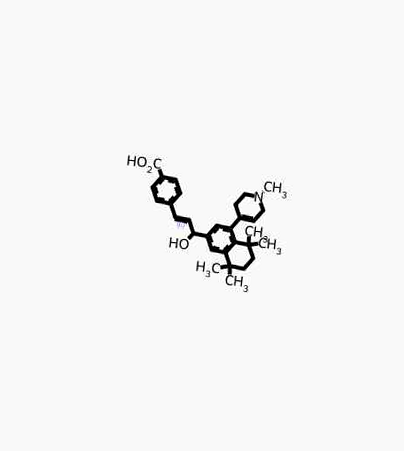 CN1CC=C(c2cc(C(O)/C=C/c3ccc(C(=O)O)cc3)cc3c2C(C)(C)CCC3(C)C)CC1